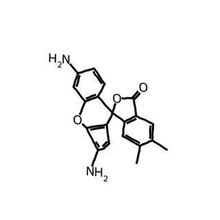 Cc1cc2c(cc1C)C1(OC2=O)c2ccc(N)cc2Oc2cc(N)ccc21